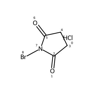 Cl.O=C1CCC(=O)N1Br